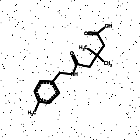 Cc1ccc(CNC(=O)CC(C)(C)CC(=O)O)cc1